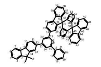 CC1(C)c2ccccc2-c2ccc(-c3cc(-c4ccccc4)nc(-c4ccc5c(c4)C4(c6ccc#cc6C6(c7ccccc7-c7ccccc76)c6ccccc64)c4ccccc4-5)c3)cc21